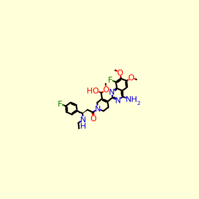 CCN[C@H](CC(=O)N1CCC(c2nc(N)c3cc(OC)c(OC)c(F)c3n2)=C(C(O)OC)C1)c1ccc(F)cc1